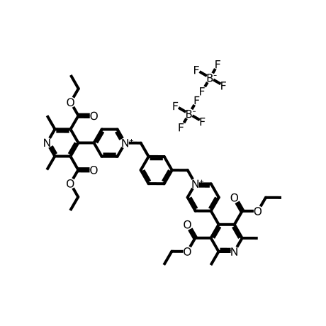 CCOC(=O)c1c(C)nc(C)c(C(=O)OCC)c1-c1cc[n+](Cc2cccc(C[n+]3ccc(-c4c(C(=O)OCC)c(C)nc(C)c4C(=O)OCC)cc3)c2)cc1.F[B-](F)(F)F.F[B-](F)(F)F